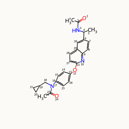 CC(=O)NC(C)c1ccc2nc(Oc3ccc(N(CC4CC4)C(C)=O)cc3)ccc2c1